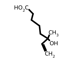 C=CC(C)(O)CCCCC(=O)O